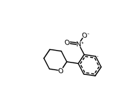 O=[N+]([O-])c1[c]cccc1C1CCCCO1